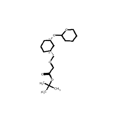 CC(C)(C)OC(=O)COC[C@@H]1CCC[C@H](OC2CCCCO2)C1